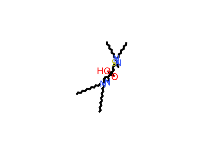 CCCCCCCCCCCC[N+](CCCCCCCCCCCC)=C1C=C/C(=C2/C(=O)C(/C=C/c3sc(N(CCCCCCCC)CCCCCCCC)nc3C)=C2O)C=N1